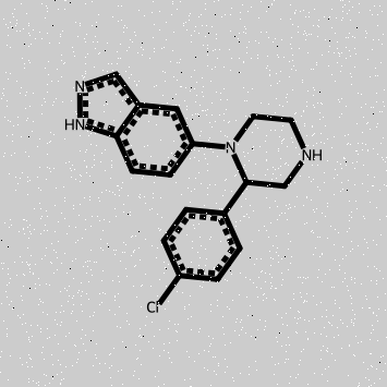 Clc1ccc(C2CNCCN2c2ccc3[nH]ncc3c2)cc1